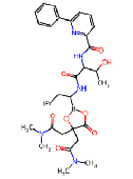 CC(C)CC(NC(=O)C(NC(=O)c1cccc(-c2ccccc2)n1)C(C)O)B1OC(=O)C(CC(=O)N(C)C)(CC(=O)N(C)C)O1